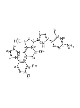 C[C@@H]1C[C@@H](c2ncc(-c3ccc(N)nc3F)[nH]2)n2c1cc(-c1c(-n3cnnn3)ccc(Cl)c1F)cc2=O